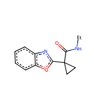 CCNC(=O)C1(c2nc3ccccc3o2)CC1